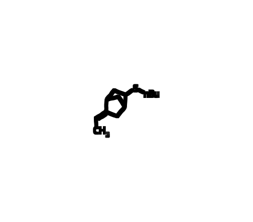 C/C=C1\CC2CC1CC2SCCCC